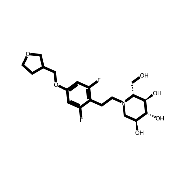 OC[C@@H]1[C@@H](O)[C@H](O)[C@@H](O)CN1CCc1c(F)cc(OCC2CCOC2)cc1F